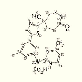 Cc1cc(-c2cnc(C3(O)CCNC(=O)CC3)s2)cc(N(C(=O)O)c2nccc(C(F)(F)F)n2)c1